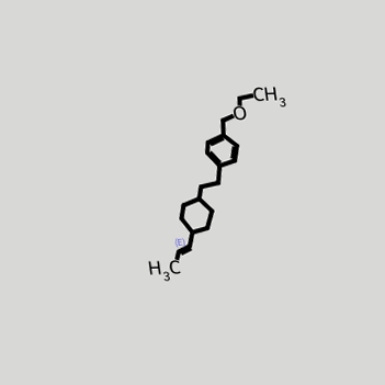 C/C=C/C1CCC(CCc2ccc(COCC)cc2)CC1